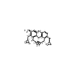 Nc1ccc(CC2CO2)c(CC2CO2)c1Cc1ccc(N)c(CC2CO2)c1CC1CO1